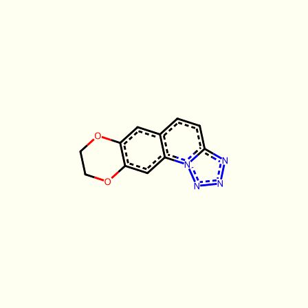 c1cc2nnnn2c2cc3c(cc12)OCCO3